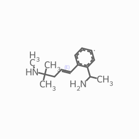 CNC(C)(C)C/C=C/c1cc[c]cc1C(C)N